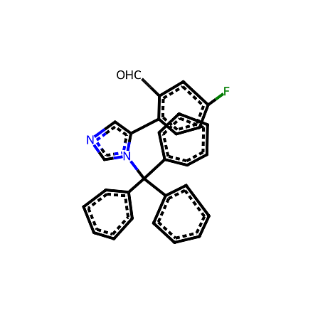 O=Cc1cc(F)ccc1-c1cncn1C(c1ccccc1)(c1ccccc1)c1ccccc1